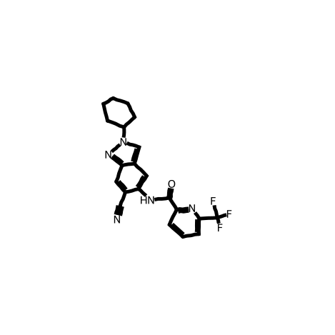 N#Cc1cc2nn(C3CCCCC3)cc2cc1NC(=O)c1cccc(C(F)(F)F)n1